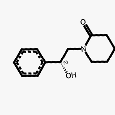 O=C1CCCCN1C[C@H](O)c1ccccc1